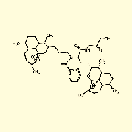 C[C@@H]1CCC2[C@@H](C)[C@@H](CCCN(C(=O)c3ccccc3)C(CC[C@H]3O[C@@H]4O[C@]5(C)CCC6[C@H](C)CCC([C@H]3C)[C@]64OO5)C(=O)NCC(=O)CO)O[C@@H]3O[C@]4(C)CCC1[C@@]23OO4